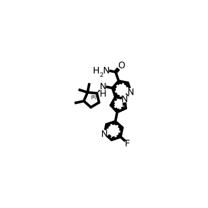 CC1CC[C@@H](Nc2c(C(N)=O)cnn3cc(-c4cncc(F)c4)cc23)C1(C)C